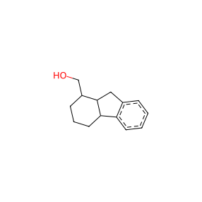 OCC1CCCC2c3ccccc3CC12